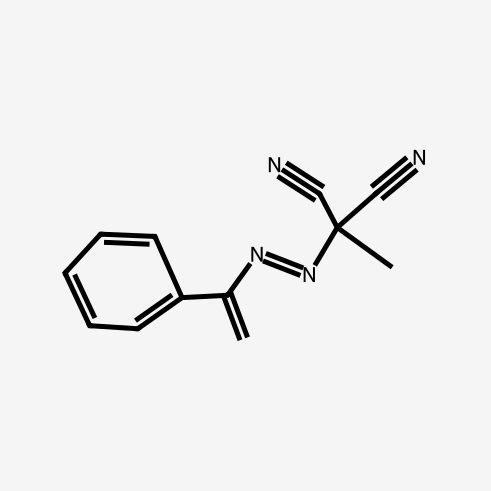 C=C(/N=N/C(C)(C#N)C#N)c1ccccc1